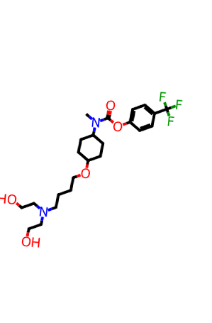 CN(C(=O)Oc1ccc(C(F)(F)F)cc1)C1CCC(OCCCCN(CCO)CCO)CC1